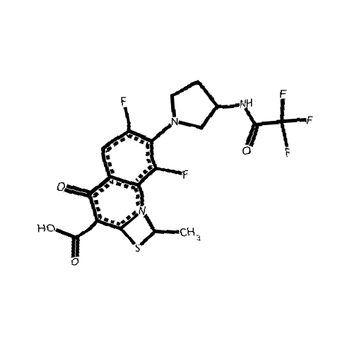 CC1Sc2c(C(=O)O)c(=O)c3cc(F)c(N4CCC(NC(=O)C(F)(F)F)C4)c(F)c3n21